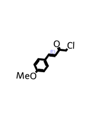 COc1ccc(/C=C/C(=O)CCl)cc1